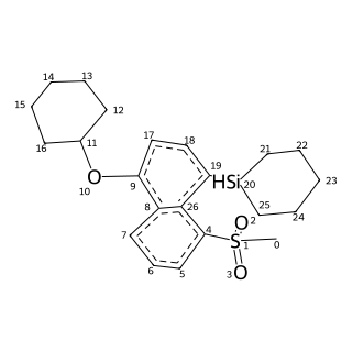 CS(=O)(=O)c1cccc2c(OC3CCCCC3)ccc([SiH]3CCCCC3)c12